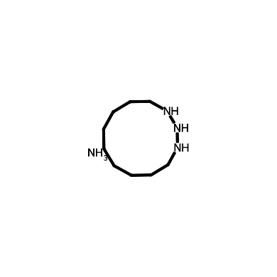 C1CCCCNNNCCCC1.N